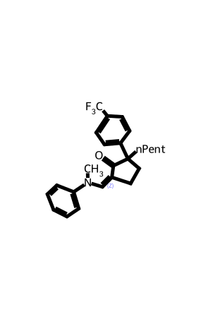 CCCCCC1(c2ccc(C(F)(F)F)cc2)CC/C(=C/N(C)c2ccccc2)C1=O